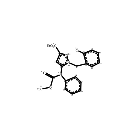 CCOC(=O)c1cc(N(C(=O)OC(C)(C)C)c2ccccc2)n(Cc2ccccc2Cl)n1